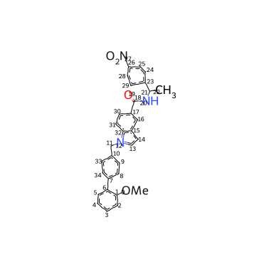 COc1ccccc1-c1ccc(Cn2ccc3cc(C(=O)NC(C)c4ccc([N+](=O)[O-])cc4)ccc32)cc1